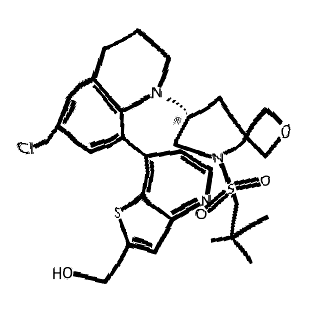 CC(C)(C)S(=O)(=O)N1C[C@H](N2CCCc3cc(Cl)cc(-c4ccnc5cc(CO)sc45)c32)CC12COC2